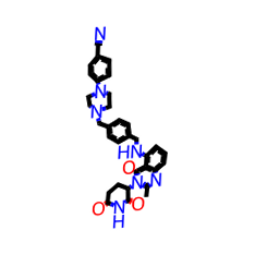 Cc1nc2cccc(NCc3ccc(CN4CCN(c5ccc(C#N)cc5)CC4)cc3)c2c(=O)n1C1CCC(=O)NC1=O